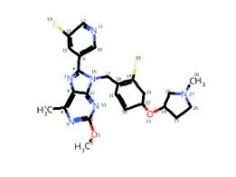 COc1nc(C)c2nc(-c3cncc(F)c3)n(CC3=C(F)CC(OC4CCN(C)C4)C=C3)c2n1